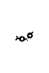 Cc1ccc(Sc2ccc(C(C)C)cc2)cc1